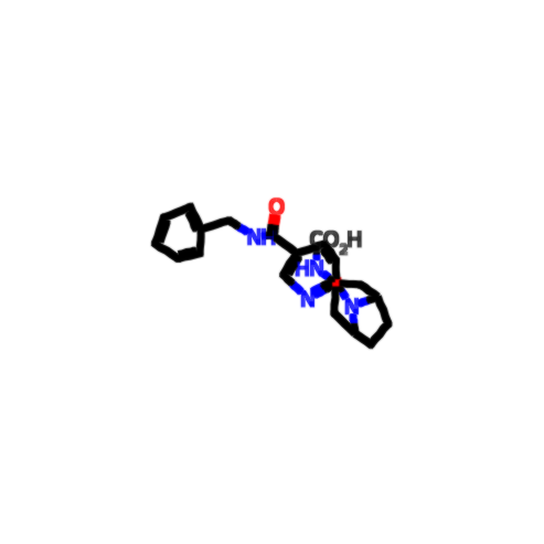 O=C(O)NC1CC2CCC(C1)N2c1ccc(C(=O)NCc2ccccc2)cn1